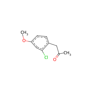 COc1ccc(CC(C)=O)c(Cl)c1